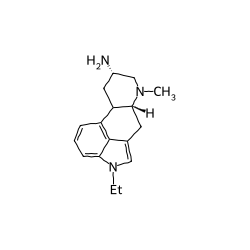 CCn1cc2c3c(cccc31)C1C[C@H](N)CN(C)[C@@H]1C2